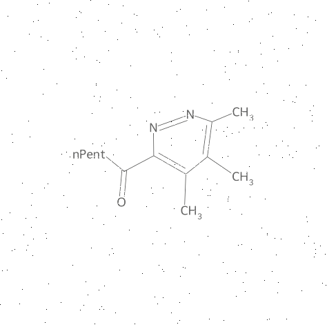 CCCCCC(=O)c1nnc(C)c(C)c1C